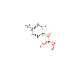 COC(=O)Oc1ccc(Cl)cc1